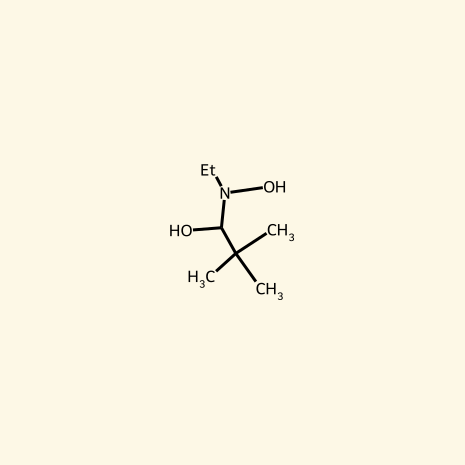 CCN(O)C(O)C(C)(C)C